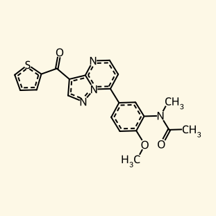 COc1ccc(-c2ccnc3c(C(=O)c4cccs4)cnn23)cc1N(C)C(C)=O